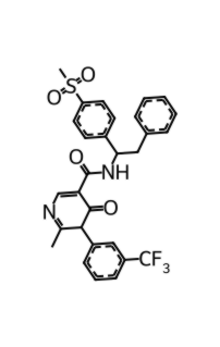 CC1=NC=C(C(=O)NC(Cc2ccccc2)c2ccc(S(C)(=O)=O)cc2)C(=O)C1c1cccc(C(F)(F)F)c1